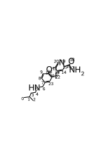 CC(C)CCNCc1ccc(Oc2ccc(C(N)=O)nc2)c(F)c1